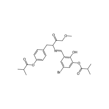 COCC(=O)C(Cc1ccc(OC(=O)C(C)C)cc1)N=Cc1cc(Br)cc(OC(=O)C(C)C)c1O